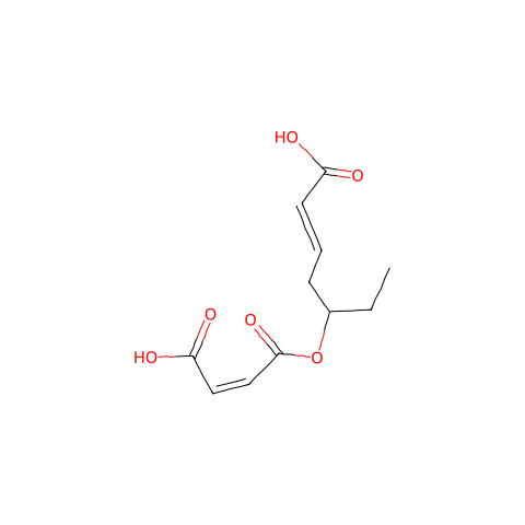 CCC(CC=CC(=O)O)OC(=O)/C=C\C(=O)O